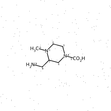 CN1CCN(C(=O)O)CC1CN